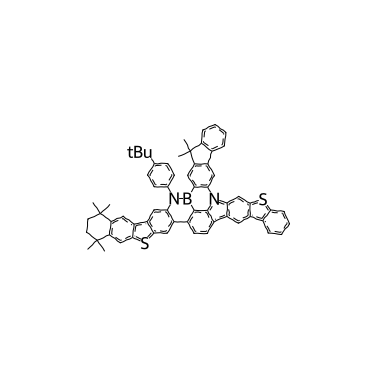 CC(C)(C)c1ccc(N2B3c4cc5c(cc4-n4c6cc7sc8ccccc8c7cc6c6ccc(c3c64)-c3cc4sc6cc7c(cc6c4cc32)C(C)(C)CCC7(C)C)-c2ccccc2C5(C)C)cc1